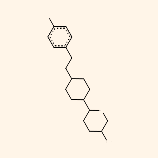 CCCC1CCC(C2CCC(CCc3ccc(CC)cc3)CC2)OC1